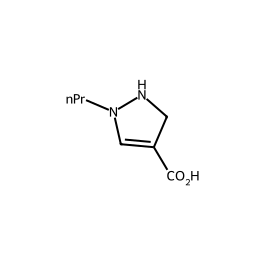 CCCN1C=C(C(=O)O)CN1